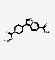 COC(=O)c1ccc2c(C3CCN(C(=O)OC(C)(C)C)CC3)cnn2c1